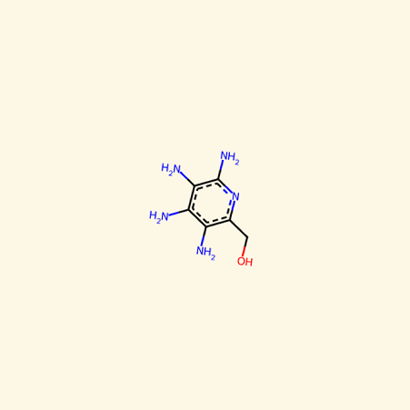 Nc1nc(CO)c(N)c(N)c1N